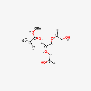 CC(O)COC(C)COC(C)CO.CCCCC(CC)C(=O)OC(C)(C)C